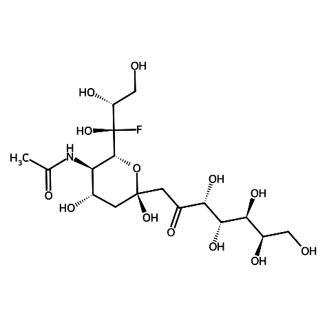 CC(=O)N[C@H]1[C@H]([C@@](O)(F)[C@H](O)CO)O[C@](O)(CC(=O)[C@H](O)[C@@H](O)[C@@H](O)[C@H](O)CO)C[C@@H]1O